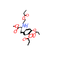 CCC(=O)OCCN[C@@H](Cc1ccc(OC(=O)CC)c(OC(=O)CC)c1)C(=O)OC